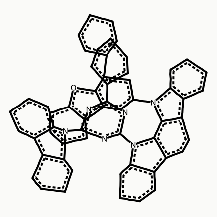 c1ccc(-c2nc(-n3c4ccccc4c4ccccc43)nc(-n3c4ccccc4c4ccc5c6ccccc6n(-c6cc(-c7ccccc7)c7oc8ccccc8c7c6)c5c43)n2)cc1